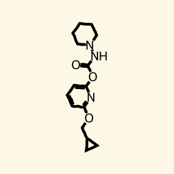 O=C(NN1CCCCC1)Oc1cccc(OCC2CC2)n1